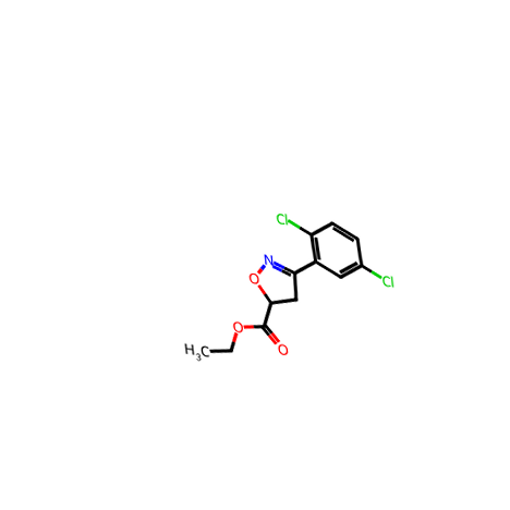 CCOC(=O)C1CC(c2cc(Cl)ccc2Cl)=NO1